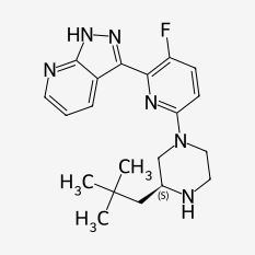 CC(C)(C)C[C@H]1CN(c2ccc(F)c(-c3n[nH]c4ncccc34)n2)CCN1